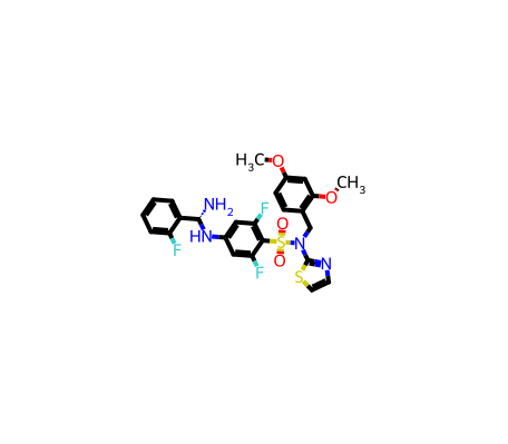 COc1ccc(CN(c2nccs2)S(=O)(=O)c2c(F)cc(N[C@@H](N)c3ccccc3F)cc2F)c(OC)c1